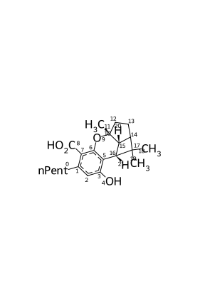 CCCCCc1cc(O)c2c(c1C(=O)O)O[C@]1(C)CCC3[C@@H]1[C@@H]2C3(C)C